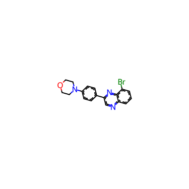 Brc1cccc2ncc(-c3ccc(N4CCOCC4)cc3)nc12